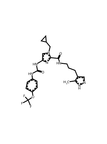 Cc1[nH]ncc1CCCNC(=O)c1nc(NC(=O)Nc2ccc(OC(F)(F)F)cc2)cn1CC1CC1